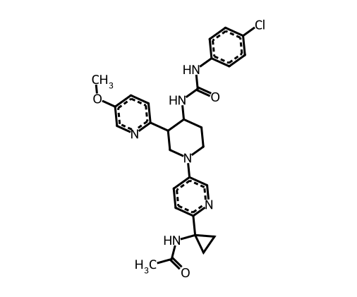 COc1ccc(C2CN(c3ccc(C4(NC(C)=O)CC4)nc3)CCC2NC(=O)Nc2ccc(Cl)cc2)nc1